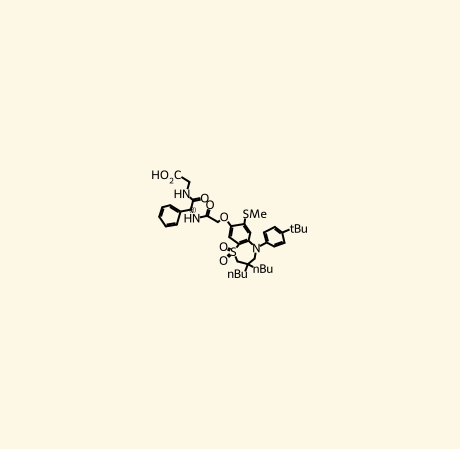 CCCCC1(CCCC)CN(c2ccc(C(C)(C)C)cc2)c2cc(SC)c(OCC(=O)N[C@@H](C(=O)NCC(=O)O)c3ccccc3)cc2S(=O)(=O)C1